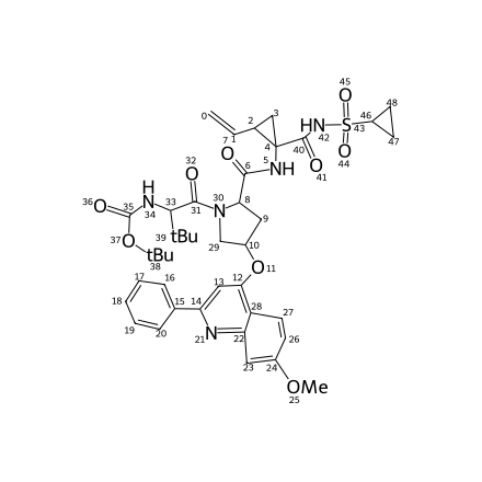 C=CC1CC1(NC(=O)C1CC(Oc2cc(-c3ccccc3)nc3cc(OC)ccc23)CN1C(=O)C(NC(=O)OC(C)(C)C)C(C)(C)C)C(=O)NS(=O)(=O)C1CC1